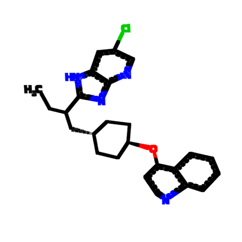 CCC(C[C@H]1CC[C@H](Oc2ccnc3ccccc23)CC1)c1nc2ncc(Cl)cc2[nH]1